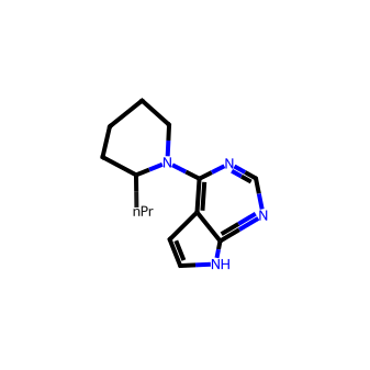 CCCC1CCCCN1c1ncnc2[nH]ccc12